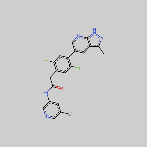 Cc1n[nH]c2ncc(-c3cc(F)c(CC(=O)Nc4cncc(C(F)(F)F)c4)cc3F)cc12